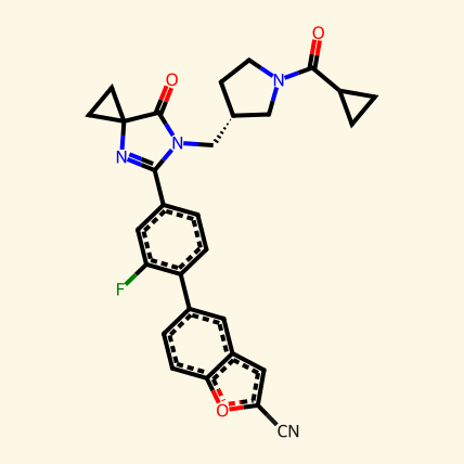 N#Cc1cc2cc(-c3ccc(C4=NC5(CC5)C(=O)N4C[C@@H]4CCN(C(=O)C5CC5)C4)cc3F)ccc2o1